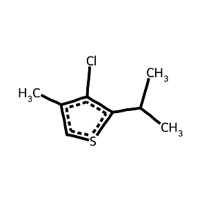 Cc1csc(C(C)C)c1Cl